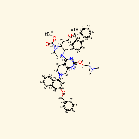 CN(C)CCOc1nc2c(c(N3CCN(C(=O)OC(C)(C)C)C(CCO[Si](c4ccccc4)(c4ccccc4)C(C)(C)C)C3)n1)CCN(c1cc(OCc3ccccc3)cc3ccccc13)C2